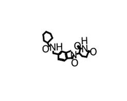 O=C1CCC(N2Cc3cc(CNC(=O)C4CCCCC4)ccc3C2=O)C(=O)N1